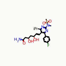 CC(C)c1nc(N(C)S(C)(=O)=O)nc(-c2ccc(F)cc2)c1/C=C/[C@@H](O)C[C@@H](O)CC(N)=O